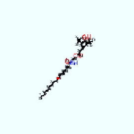 CCCCCCCCCCCCCCCCCC(=O)NCCOC(=O)CCc1cc(C(C)(C)C)c(O)c(C(C)(C)C)c1